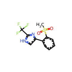 CS(=O)(=O)c1ccccc1-c1c[nH]c(C(F)(F)F)n1